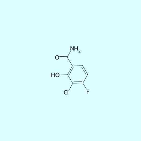 NC(=O)c1ccc(F)c(Cl)c1O